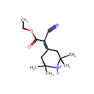 CCOC(=O)C(C#N)=C1CC(C)(C)[NH+]([O-])C(C)(C)C1